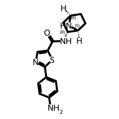 Nc1ccc(-c2ncc(C(=O)N[C@@H]3C[C@H]4CC[C@@H]3N4)s2)cc1